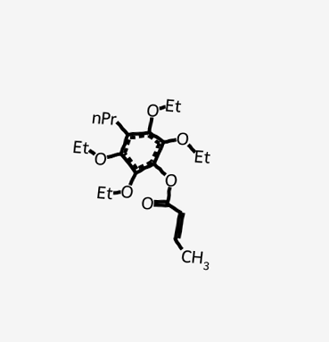 CC=CC(=O)Oc1c(OCC)c(OCC)c(CCC)c(OCC)c1OCC